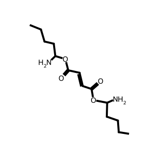 CCCCC(N)OC(=O)/C=C/C(=O)OC(N)CCCC